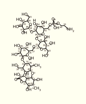 CC1[C@@H](OC2C(O)[C@H](C)[C@@H](O)C3OP(=O)(O)O[C@@H]23)OC(CO)[C@@H](O[C@H]2OC(CO[C@H]3OC(CO)[C@@H](O)[C@H](O)C3O[C@H]3OC(COP(=O)(O)OCCN)[C@@H](O)[C@H](O)C3O[C@H]3OC(CO)[C@@H](O)[C@H](O)C3O)[C@@H](O)[C@H](O)C2O)[C@@H]1O